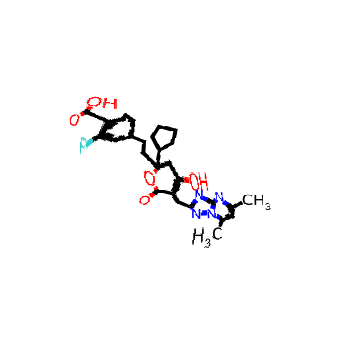 Cc1cc(C)n2nc(CC3=C(O)CC(CCc4ccc(C(=O)O)c(F)c4)(C4CCCC4)OC3=O)nc2n1